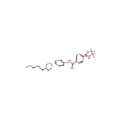 CCCCC[C@H]1CC[C@H](c2ccc(OC(=O)c3ccc(B4OC(C)(C)C(C)(C)O4)cc3)cc2)CC1